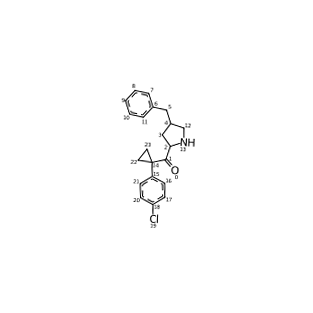 O=C(C1CC(Cc2ccccc2)CN1)C1(c2ccc(Cl)cc2)CC1